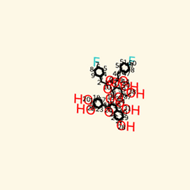 O=C(Cc1ccc(F)cc1)O[C@@H]1[C@H](Oc2c(-c3ccc(O)c(O)c3)oc3cc(O)cc(O)c3c2=O)O[C@H](CO)C(O)[C@@H]1OC(=O)Cc1ccc(F)cc1